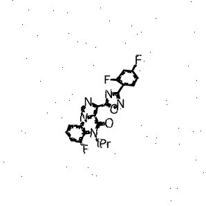 CC(C)n1c(=O)c2c(-c3nc(-c4ccc(F)cc4F)no3)ncn2c2cccc(F)c21